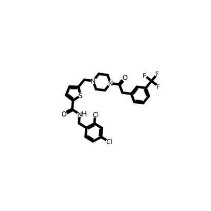 O=C(NCc1ccc(Cl)cc1Cl)c1ccc(CN2CCN(C(=O)Cc3cccc(C(F)(F)F)c3)CC2)s1